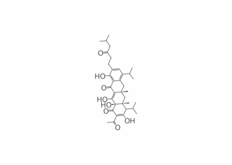 CC(=O)C1=C(O)C(C(C)C)[C@@]2(C)C[C@@]3(C)Cc4c(C(C)C)cc(CCC(=O)CC(C)C)c(O)c4C(=O)C3=C(O)[C@@]2(O)C1=O